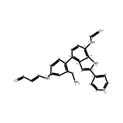 NCc1cc(NC=CC=O)ccc1-c1ccc(NC=O)c2[nH]c(-c3ccncc3)cc12